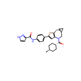 C[C@H]1CC[C@H](C(=O)N(CC2CC2)c2cc(-c3ccc(NC(=O)c4cc[nH]n4)cc3)sc2C=O)CC1